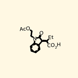 CCC(C(=O)O)=C1C(=O)N(CCOC(C)=O)c2ccccc21